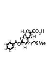 CSCC[C@H](NC(=O)OCc1ccccc1)C(=O)N[C@@H](C)C(=O)O